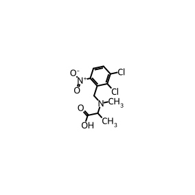 CC(C(=O)O)N(C)Cc1c([N+](=O)[O-])ccc(Cl)c1Cl